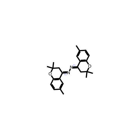 Cc1ccc2c(c1)/C(=N/N=C1\CC(C)(C)Oc3ccc(C)cc31)CC(C)(C)O2